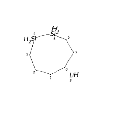 C1CCC[SiH2][SiH2]CC1.[LiH]